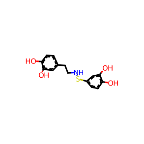 Oc1ccc(CCNSc2ccc(O)c(O)c2)cc1O